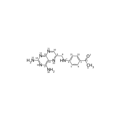 CC(=O)c1ccc(NCc2cnc3nc(N)nc(N)c3n2)cc1